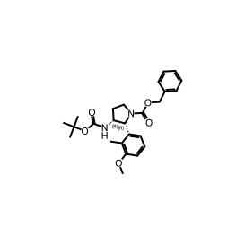 COc1cccc([C@@H]2[C@H](NC(=O)OC(C)(C)C)CCN2C(=O)OCc2ccccc2)c1C